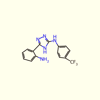 Nc1ccccc1-c1nnc(Nc2ccc(C(F)(F)F)cc2)[nH]1